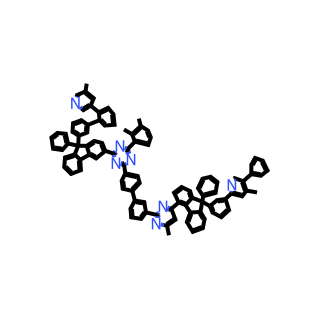 Cc1cncc(-c2ccccc2-c2cccc(C3(c4ccccc4)c4ccccc4-c4cc(-c5nc(-c6ccc(-c7cccc(-c8nc(C)cc(-c9cccc%10c9-c9ccccc9C%10(c9ccccc9)c9cccc(-c%10cc(C)c(-c%11ccccc%11)cn%10)c9)n8)c7)cc6)nc(-c6cccc(C)c6C)n5)ccc43)c2)c1